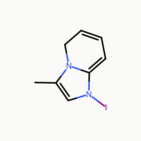 CC1=CN(I)C2=CC=CCN12